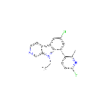 Cc1nc(Cl)ccc1-c1cc(Cl)cc2c3ccncc3n(CC(F)(F)F)c12